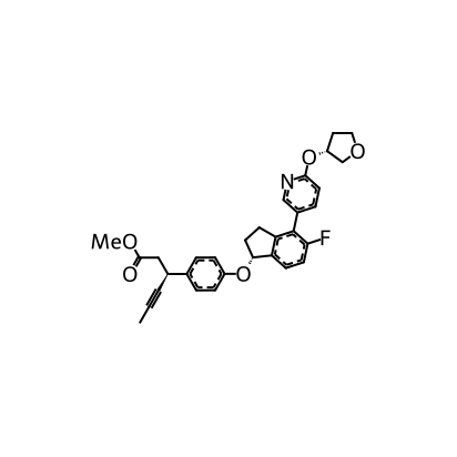 CC#C[C@@H](CC(=O)OC)c1ccc(O[C@@H]2CCc3c2ccc(F)c3-c2ccc(O[C@@H]3CCOC3)nc2)cc1